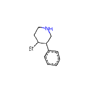 CCC1CCNCC1c1ccccc1